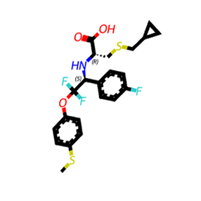 CSc1ccc(OC(F)(F)[C@@H](N[C@@H](CSCC2CC2)C(=O)O)c2ccc(F)cc2)cc1